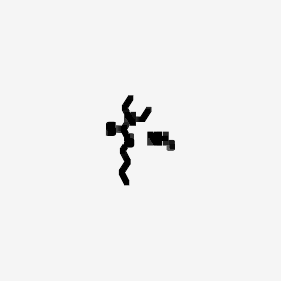 CCCCSC(=S)N(CC)CC.N